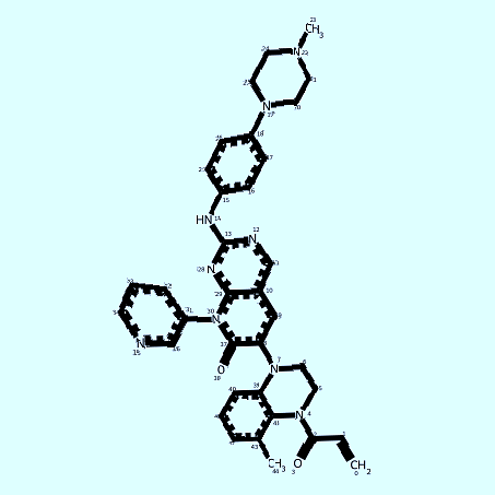 C=CC(=O)N1CCN(c2cc3cnc(Nc4ccc(N5CCN(C)CC5)cc4)nc3n(-c3cccnc3)c2=O)c2cccc(C)c21